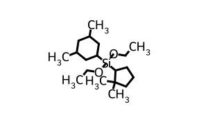 CCO[Si](OCC)(C1CC(C)CC(C)C1)C1CCCC1(C)C